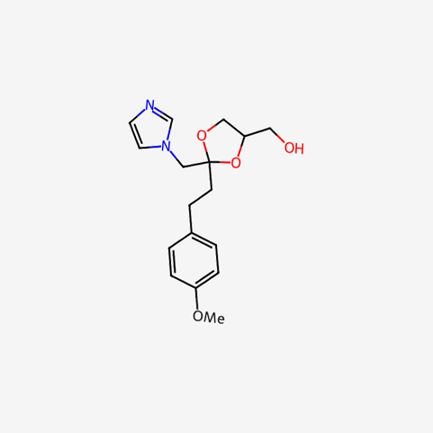 COc1ccc(CCC2(Cn3ccnc3)OCC(CO)O2)cc1